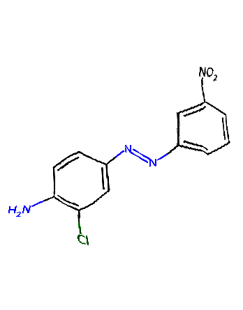 Nc1ccc(N=Nc2cccc([N+](=O)[O-])c2)cc1Cl